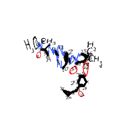 CN(C)C(=O)C1CN(c2ncc(N3CC(C)(C)C(Oc4ccc(C(=O)C5CC5)cc4)C3=O)cn2)C1